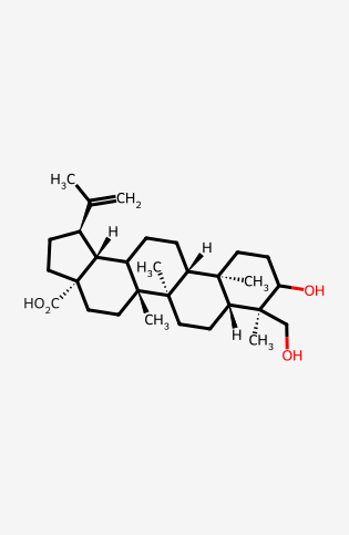 C=C(C)[C@@H]1CC[C@]2(C(=O)O)CC[C@]3(C)C(CC[C@@H]4[C@@]5(C)CCC(O)[C@@](C)(CO)[C@@H]5CC[C@]43C)[C@@H]12